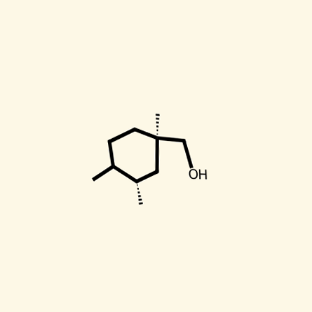 CC1CC[C@@](C)(CO)C[C@@H]1C